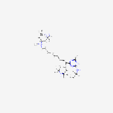 CCc1nc(NC(C)(C)CC(C)(C)C)nc(C(CCCCCCCCN(CC)C2CC(C)(C)NC(C)(C)C2)C2CC(C)(C)NC(C)(C)C2)n1